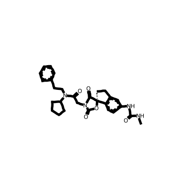 CNC(=O)Nc1ccc2c(c1)CC[C@@]21OC(=O)N(CC(=O)N(CCc2ccccc2)C2CCCC2)C1=O